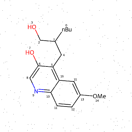 CCCCC(CO)Cc1c(O)cnc2ccc(OC)cc12